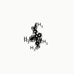 CCOC(=O)c1ccc(-c2cc(OC(=O)C(C)(C)C)c(NCc3ccc(OC)cc3OC)c3c(F)cccc23)nc1